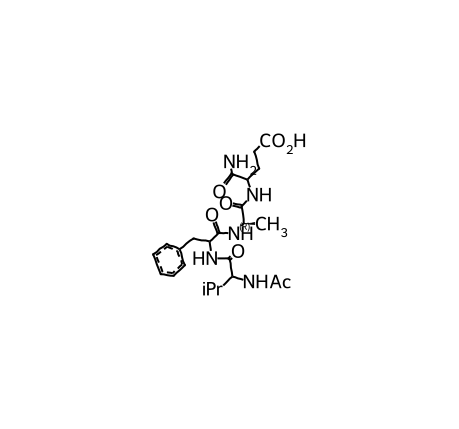 CC(=O)NC(C(=O)NC(Cc1ccccc1)C(=O)N[C@H](C)C(=O)NC(CCC(=O)O)C(N)=O)C(C)C